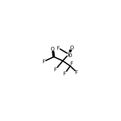 O=C(F)C(F)(C(F)(F)F)S(=O)(=O)F